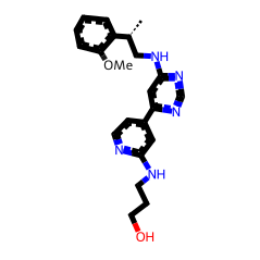 COc1ccccc1[C@H](C)CNc1cc(-c2ccnc(NCCCO)c2)ncn1